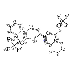 O=C(COC(F)(F)F)N1CCCCC1/N=N/c1ccc(-c2ccccc2OC(F)(F)F)c(Cl)c1